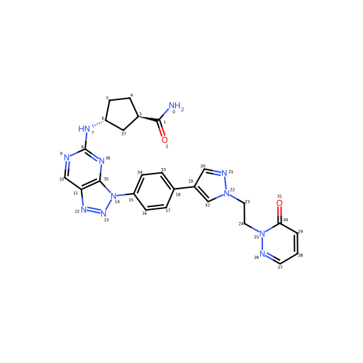 NC(=O)[C@@H]1CC[C@@H](Nc2ncc3nnn(-c4ccc(-c5cnn(CCn6ncccc6=O)c5)cc4)c3n2)C1